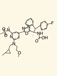 COCCN(CC1CC1C)c1cc(-c2nnc([C@](C)(NC(=O)O)C(c3ccccc3)c3ccc(F)cc3)o2)cc(N(C)S(C)(=O)=O)n1